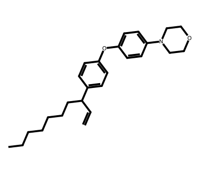 C=CC(CCCCCCC)c1ccc(Oc2ccc(N3CCOCC3)cc2)cc1